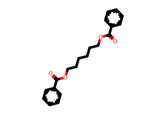 O=C(OCCCCCCOC(=O)c1ccccc1)c1ccccc1